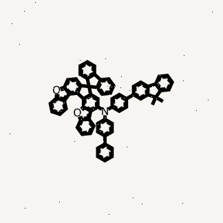 CC1(C)c2ccccc2-c2ccc(-c3ccc(N(c4ccc(-c5ccccc5)cc4)c4cc5c(c6oc7ccccc7c46)-c4c(ccc6oc7ccccc7c46)C54c5ccccc5-c5ccccc54)cc3)cc21